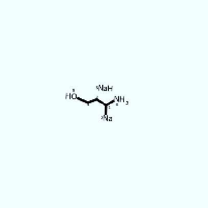 N[CH]([Na])CCO.[NaH]